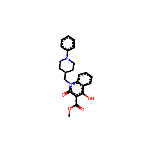 COC(=O)c1c(O)c2ccccc2n(CC2CCN(c3ccccc3)CC2)c1=O